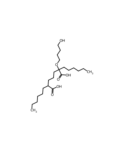 CCCCCCC(CCCC(CCCCCC)(OCCCCO)C(=O)O)C(=O)O